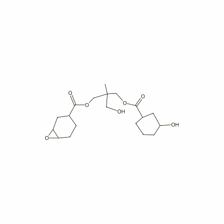 CC(CO)(COC(=O)C1CCCC(O)C1)COC(=O)C1CCC2OC2C1